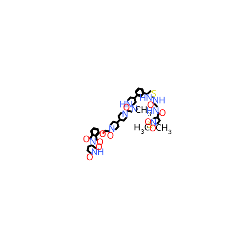 CC1CC(C(=O)NCC(=O)NC2NC(c3cccc(C4CCNC(N(C)CC(=O)N5CCC(C6CCN(C(=O)COc7cccc8c7C(=O)N(C7CCC(=O)NC7=O)C8=O)CC6)CC5)C4)c3)CS2)CN1S(C)(=O)=O